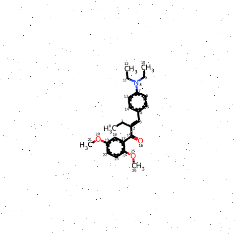 CC/C(=C\c1ccc(N(CC)CC)cc1)C(=O)c1cc(OC)ccc1OC